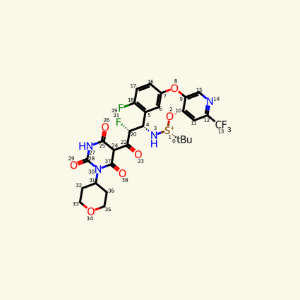 CC(C)(C)[S@@+]([O-])N[C@@H](c1cc(Oc2ccc(C(F)(F)F)nc2)ccc1F)[C@@H](F)C(=O)C1C(=O)NC(=O)N(C2CCOCC2)C1=O